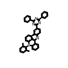 Cc1cccc(C)c1B1c2ccccc2-c2nc3ccc(-c4nc(-c5ccccc5)nc(-c5ccccc5)n4)cc3c3cccc1c23